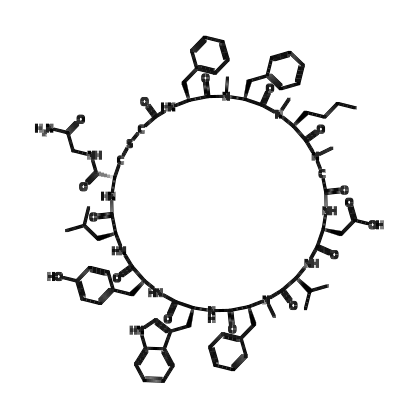 CCCC[C@H]1C(=O)N(C)CC(=O)N[C@@H](CC(=O)O)C(=O)N[C@@H](C(C)C)C(=O)N(C)[C@@H](Cc2ccccc2)C(=O)N[C@@H](Cc2c[nH]c3ccccc23)C(=O)N[C@@H](Cc2ccc(O)cc2)C(=O)N[C@@H](CC(C)C)C(=O)N[C@H](C(=O)NCC(N)=O)CSCC(=O)N[C@@H](Cc2ccccc2)C(=O)N(C)[C@@H](Cc2ccccc2)C(=O)N1C